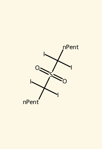 CCCCCC(I)(I)S(=O)(=O)C(I)(I)CCCCC